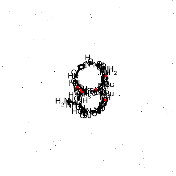 CC[C@H](C)[C@@H]1NC(=O)CNC(=O)C2CCC(CC2)CNC(=O)CNC(=O)CC(C(N)=O)NC(=O)[C@@H]2CCCN2C(=O)[C@H]([C@@H](C)CC)NC(=O)[C@H]2NC(=O)[C@H]([C@@H](C)CC)NC(=O)[C@@H]3CCCN3C(=O)[C@@H]3CCCN3C(=O)[C@H](CC(C)(C)C)NC(=O)[C@H](CO)NC(=O)[C@H](CCCNC(=N)N)NC(=O)[C@H](CO)NC(=O)[C@H](CSSC2(C)C)NC1=O